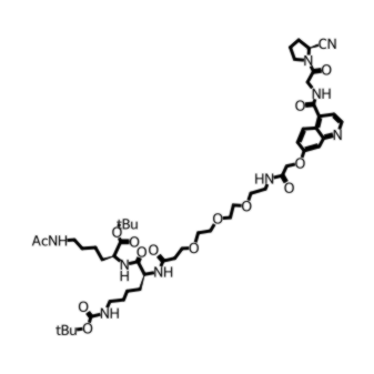 CC(=O)NCCCC[C@H](NC(=O)[C@H](CCCCNC(=O)OC(C)(C)C)NC(=O)CCOCCOCCOCCNC(=O)COc1ccc2c(C(=O)NCC(=O)N3CCC[C@H]3C#N)ccnc2c1)C(=O)OC(C)(C)C